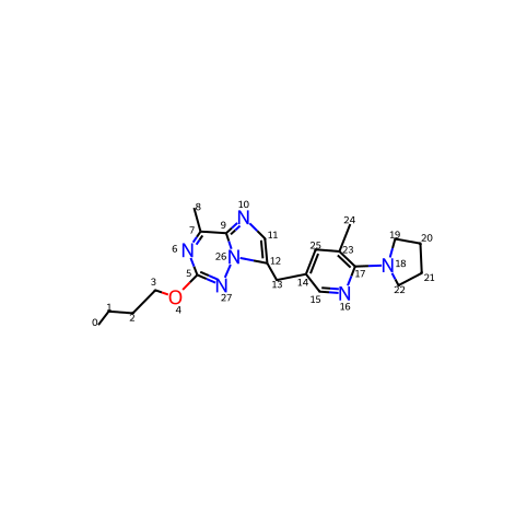 CCCCOc1nc(C)c2ncc(Cc3cnc(N4CCCC4)c(C)c3)n2n1